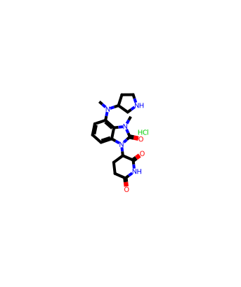 CN(c1cccc2c1n(C)c(=O)n2C1CCC(=O)NC1=O)C1CCNC1.Cl